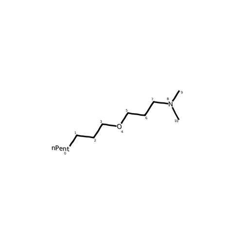 CCCCCCCCOCCCN(C)C